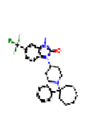 O=c1[nH]c2cc(C(F)(F)F)ccc2n1C1CCN(C2(c3ccccc3)CCCCCC2)CC1